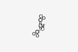 COc1cc(N2CCN3C(c4ccc(OC)c(OC)c4)CCC[C@]3(F)C2)ccc1Cl